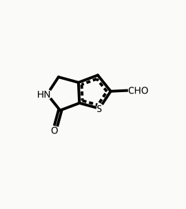 O=Cc1cc2c(s1)C(=O)NC2